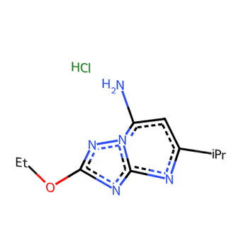 CCOc1nc2nc(C(C)C)cc(N)n2n1.Cl